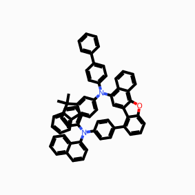 CC1(C)c2ccccc2-c2ccc(N(c3ccc(-c4ccccc4)cc3)c3cc4c(oc5cccc(-c6ccc(N(c7ccccc7)c7cccc8ccccc78)cc6)c54)c4ccccc34)cc21